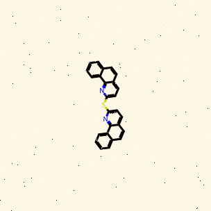 c1ccc2c(c1)ccc1ccc(Sc3ccc4ccc5ccccc5c4n3)nc12